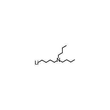 [Li][CH2]CCCN(CCCC)CCCC